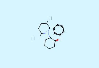 CC1CCC(C)N([C@@]2(c3ccccc3)CCCCC2=O)C1